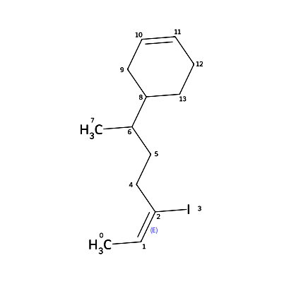 C/C=C(/I)CCC(C)C1CC=CCC1